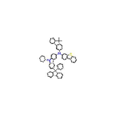 CC1(C)c2ccccc2-c2cc(N(c3ccc4c(c3)sc3ccccc34)c3ccc4c(c3)c3cc(C5(c6ccccc6)c6ccccc6-c6ccccc65)ccc3n4-c3ccccc3)ccc21